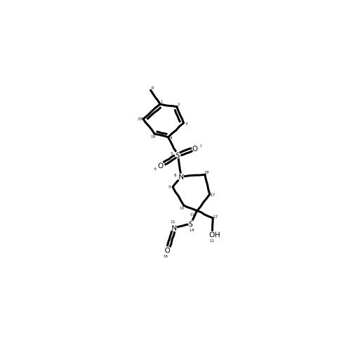 Cc1ccc(S(=O)(=O)N2CCC(CO)(SN=O)CC2)cc1